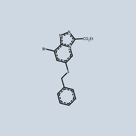 CCOC(=O)c1nnc2c(Br)cc(SCc3ccccc3)cn12